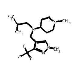 CC(C)CN(Cc1cn(C)nc1C(F)(F)F)C1CCN(C)CC1